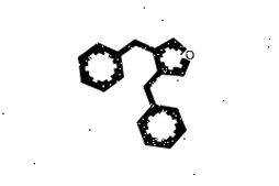 c1ccc(Cc2cocc2Cc2ccccc2)cc1